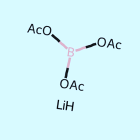 CC(=O)OB(OC(C)=O)OC(C)=O.[LiH]